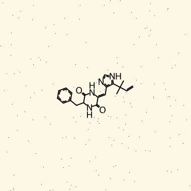 C=CC(C)(C)c1[nH]cnc1C=C1NC(=O)C(Cc2ccccc2)NC1=O